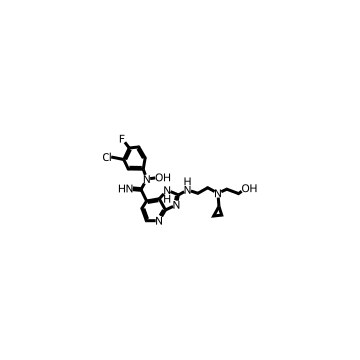 N=C(c1ccnc2nc(NCCN(CCO)C3CC3)[nH]c12)N(O)c1ccc(F)c(Cl)c1